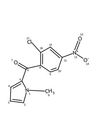 Cn1cccc1C(=O)c1ccc([N+](=O)[O-])cc1Cl